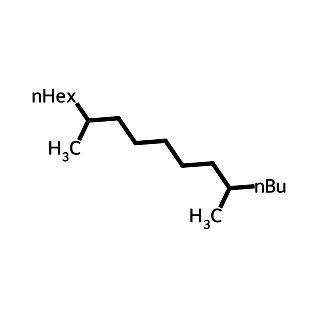 CCCCCCC(C)CCCCCC(C)CCCC